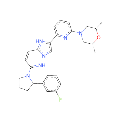 C[C@@H]1CN(c2cccc(-c3cnc(/C=C\C(=N)N4CCCC4c4cccc(F)c4)[nH]3)n2)C[C@H](C)O1